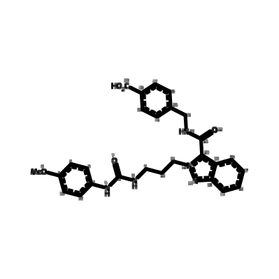 COc1ccc(NC(=O)NCCCn2nc3ccccc3c2C(=O)NCc2ccc(C(=O)O)cc2)cc1